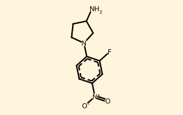 NC1CCN(c2ccc([N+](=O)[O-])cc2F)C1